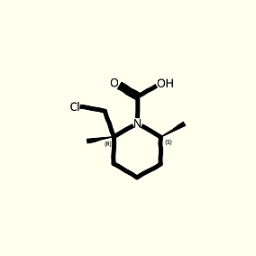 C[C@H]1CCC[C@](C)(CCl)N1C(=O)O